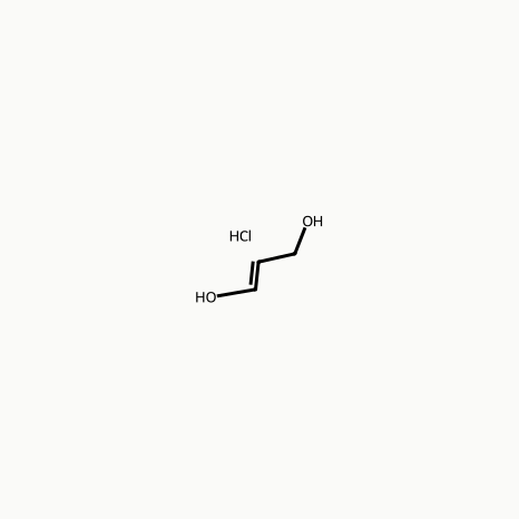 Cl.OC=CCO